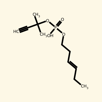 C#CC(C)(C)OP(=O)(O)OCCC=CCC